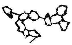 c1ccc(-c2nc3ccc(-c4ccc5c6ccccc6c6ccccc6c5c4)cc3c3c2ccc2oc4ccccc4c23)cc1